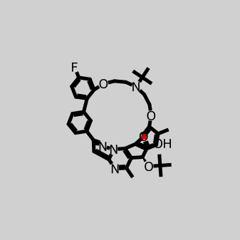 Cc1ccc2cc1OCCN(C(C)(C)C)CCOc1cc(F)ccc1-c1cccc(c1)-c1cc3nc(C)c([C@H](OC(C)(C)C)C(=O)O)c-2n3n1